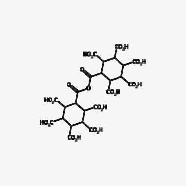 O=C(O)C1C(C(=O)O)C(C(=O)O)C(C(=O)OC(=O)C2C(C(=O)O)C(C(=O)O)C(C(=O)O)C(C(=O)O)C2C(=O)O)C(C(=O)O)C1C(=O)O